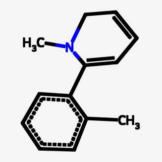 Cc1ccccc1C1=CC=CCN1C